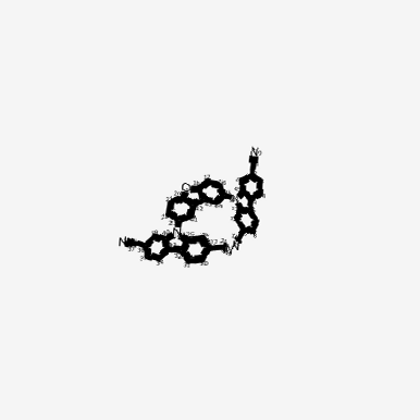 N#Cc1ccc2c3ccc(C#N)cc3n(-c3ccc4oc5ccc(-n6c7cc(C#N)ccc7c7ccc(C#N)cc76)cc5c4c3)c2c1